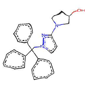 OC1CCN(c2ccn(C(c3ccccc3)(c3ccccc3)c3ccccc3)n2)C1